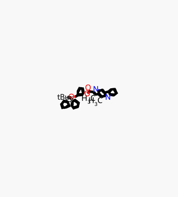 CC1=C(C(=O)Oc2cccc(CO[Si](c3ccccc3)(c3ccccc3)C(C)(C)C)c2)N=c2cc3c(c(C)c21)=Nc1ccccc1-3